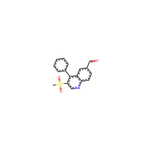 CS(=O)(=O)c1cnc2ccc(C=O)cc2c1-c1ccccc1